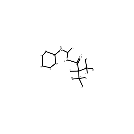 CC(OC(=O)C(C)(C(C)(C)C)C(C)(C)C)OC1CCCCC1